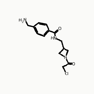 NCc1ccc(C(=O)NCC2CN(C(=O)CCl)C2)cc1